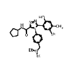 CCN(CC)Cc1ccc(-n2c(C(=O)NC3CCCC3)nnc2-c2cc(C(C)C)c(C)cc2O)cc1